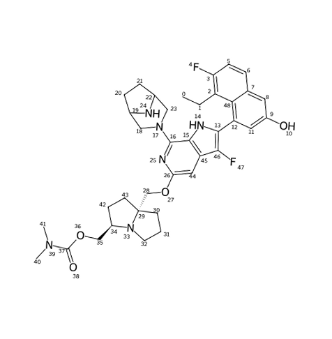 CCc1c(F)ccc2cc(O)cc(-c3[nH]c4c(N5CC6CCC(C5)N6)nc(OC[C@]56CCCN5[C@@H](COC(=O)N(C)C)CC6)cc4c3F)c12